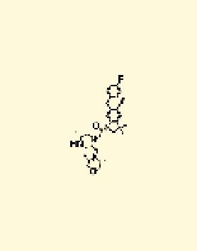 C#Cc1cc2c(cc1Cc1ccc(F)cc1)N(C(=O)CN1C[C@@H](C)NC[C@@H]1CN1[C@H](C)COC[C@H]1C)CC2(C)C